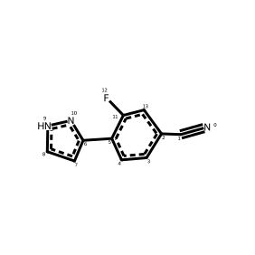 N#Cc1ccc(-c2cc[nH]n2)c(F)c1